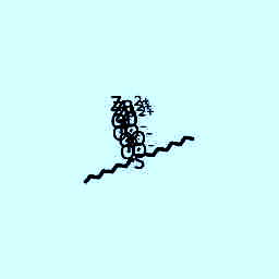 CCCCCCCCSCCCCCCCC.O=P([O-])([O-])[O-].O=P([O-])([O-])[O-].[Zn+2].[Zn+2].[Zn+2]